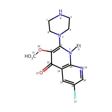 CCn1c(N2CCNCC2)c(OC(=O)O)c(=O)c2cc(F)cnc21